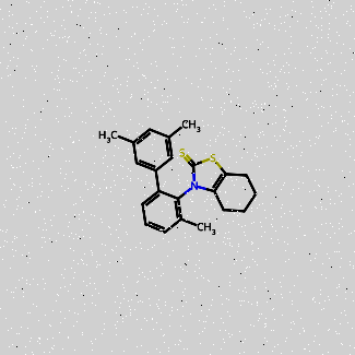 Cc1cc(C)cc(-c2cccc(C)c2-n2c3c(sc2=S)CCCC3)c1